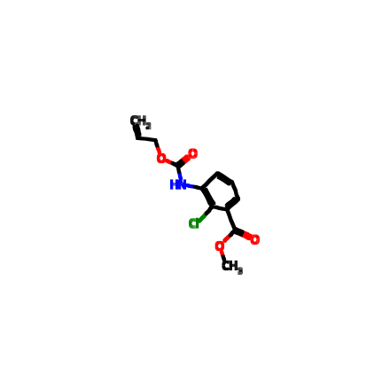 C=CCOC(=O)Nc1cccc(C(=O)OC)c1Cl